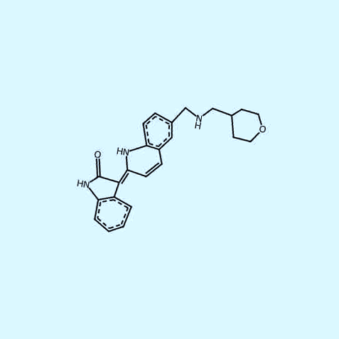 O=C1Nc2ccccc2C1=C1C=Cc2cc(CNCC3CCOCC3)ccc2N1